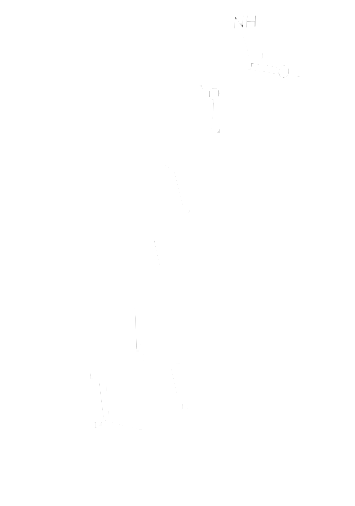 [NH]C(=O)OCCCCCCc1ccccc1